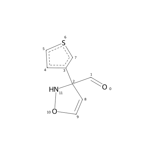 O=CC1(c2ccsc2)C=CON1